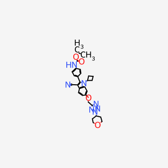 CC(C)OC(=O)Nc1ccc(-c2c(C#N)c3ccc(OCc4nnn(C5CCOCC5)n4)cc3n2C2CCC2)cc1